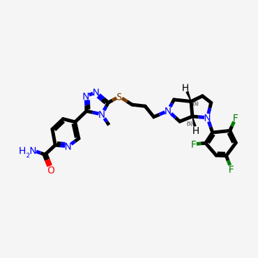 Cn1c(SCCCN2C[C@@H]3CCN(c4c(F)cc(F)cc4F)[C@@H]3C2)nnc1-c1ccc(C(N)=O)nc1